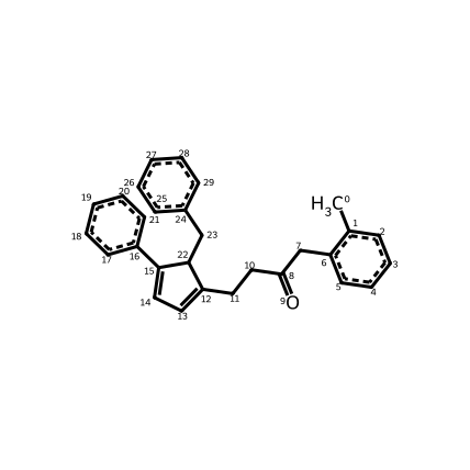 Cc1ccccc1CC(=O)CCC1=CC=C(c2ccccc2)C1Cc1ccccc1